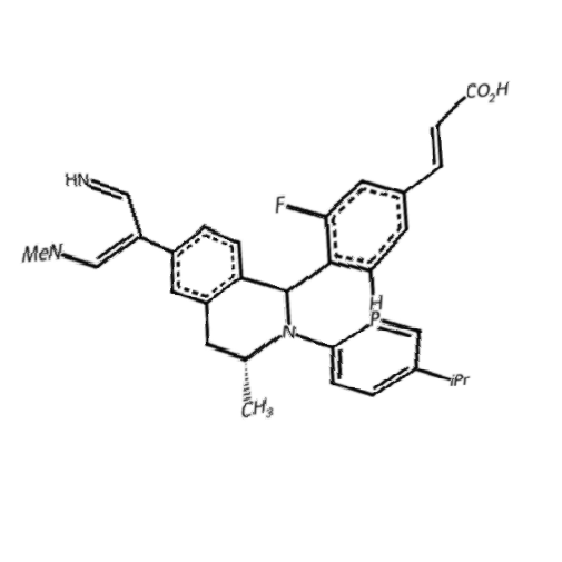 CN/C=C(\C=N)c1ccc2c(c1)C[C@@H](C)N1C3=CC=C(C(C)C)C=[PH]3c3cc(/C=C/C(=O)O)cc(F)c3C21